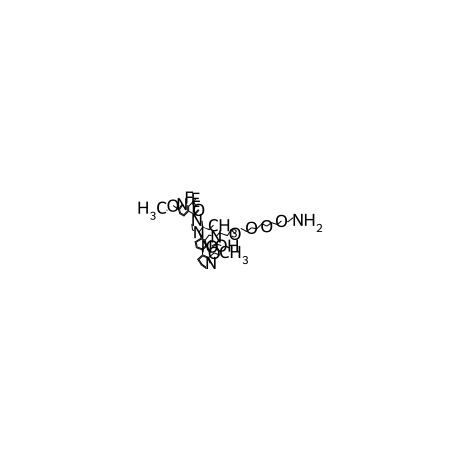 CCOc1ccc(C(=O)N2CCN(c3ccc(-c4cccnc4OCC)nc3CN(CCCOCCOCCOCCOCCN)C(=O)O)[C@H](CC)C2)c(C(F)(F)F)n1